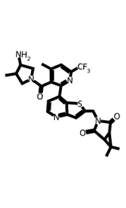 Cc1cc(C(F)(F)F)nc(-c2ccnc3cc(CN4C(=O)C5C(C4=O)C5(C)C)sc23)c1C(=O)N1CC(C)C(N)C1